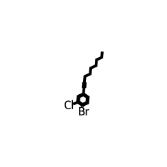 CCCCCCCC#Cc1ccc(Br)c(Cl)c1